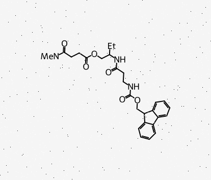 CCC(COC(=O)CCC(=O)NC)NC(=O)CCNC(=O)OCC1c2ccccc2-c2ccccc21